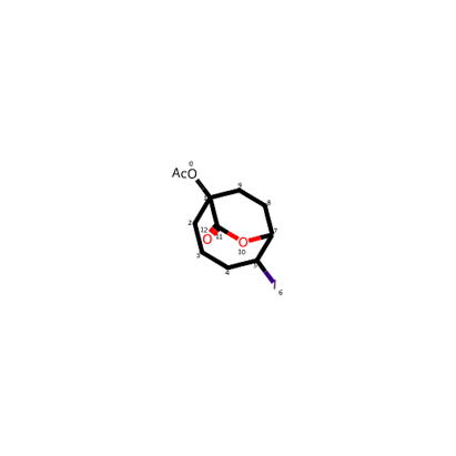 CC(=O)OC12CCCC(I)C(CC1)OC2=O